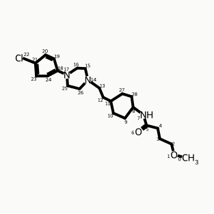 COCCCC(=O)NC1CCC(CCN2CCN(c3ccc(Cl)cc3)CC2)CC1